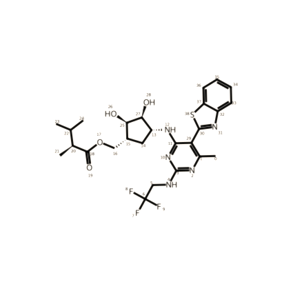 Cc1nc(NCC(F)(F)F)nc(N[C@@H]2C[C@H](COC(=O)[C@@H](C)C(C)C)[C@@H](O)[C@H]2O)c1-c1nc2ccccc2s1